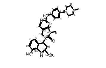 CN1CCN(c2ccc(Nc3ncc4c(n3)N(C)C(=O)N(C3CC(C(C)(C)C)Nc5c(C#N)cccc53)C4)cc2)CC1